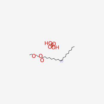 CCCCCCCC/C=C\CCCCCCCC(=O)OCCOCC.O=S(=O)(O)O